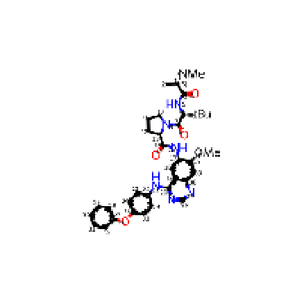 CN[C@@H](C)C(=O)N[C@H](C(=O)N1CCCC1C(=O)Nc1cc2c(Nc3ccc(Oc4ccccc4)cc3)ncnc2cc1OC)C(C)(C)C